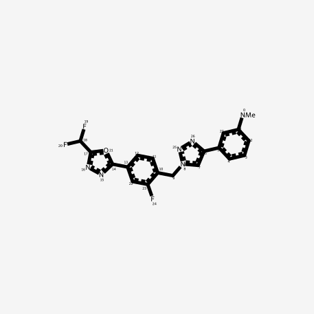 CNc1cccc(-c2cn(Cc3ccc(-c4nnc(C(F)F)o4)cc3F)nn2)c1